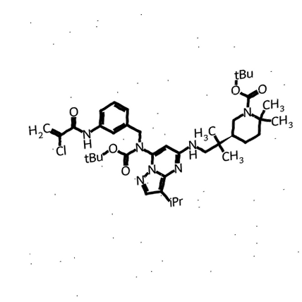 C=C(Cl)C(=O)Nc1cccc(CN(C(=O)OC(C)(C)C)c2cc(NCC(C)(C)[C@@H]3CCC(C)(C)N(C(=O)OC(C)(C)C)C3)nc3c(C(C)C)cnn23)c1